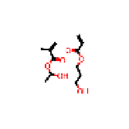 C=C(C)C(=O)OC(C)O.C=CC(=O)OCCCO